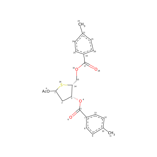 CC(=O)OC1C[C@@H](OC(=O)c2ccc(C)cc2)[C@@H](COC(=O)c2ccc(C)cc2)S1